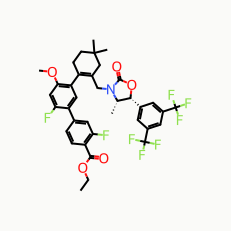 CCOC(=O)c1ccc(-c2cc(C3=C(CN4C(=O)O[C@H](c5cc(C(F)(F)F)cc(C(F)(F)F)c5)[C@@H]4C)CC(C)(C)CC3)c(OC)cc2F)cc1F